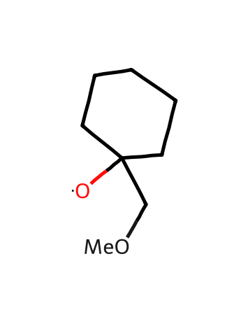 COCC1([O])CCCCC1